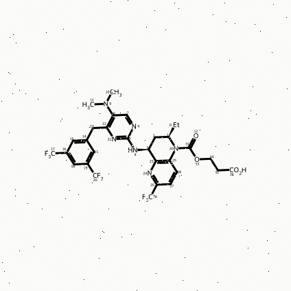 CC[C@@H]1C[C@H](Nc2ncc(N(C)C)c(Cc3cc(C(F)(F)F)cc(C(F)(F)F)c3)n2)c2nc(C(F)(F)F)ccc2N1C(=O)OCCC(=O)O